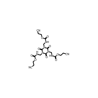 N#CCCOC(=O)NCn1c(=O)n(CNC(=O)OCCC#N)c(=O)n(CNC(=O)OCCC#N)c1=O